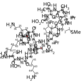 CSCC[C@H](NC(=O)[C@@H]1CCCN1C(=O)[C@@H](NC(=O)[C@H](CC(C)C)NC(=O)[C@H](CC(N)=O)NC(=O)[C@H](CCCCN)NC(=O)[C@H](CCCCCN)NC(=O)[C@H](CCCCN)NC(=O)[C@H](CCCCCN)NC(=O)[C@H](CO)NC(=O)[C@H](CS)NC(C)=O)C(C)C)C(=O)N[C@H](C(=O)N[C@@H](C)C(=O)N[C@H](C(=O)N[C@H](C(=O)O)C(C)C)[C@H](C)O)C(C)C